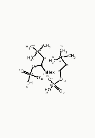 CCCCCCC(C[N+](C)(C)C)OP(=O)([O-])O.C[N+](C)(C)CCOP(=O)([O-])O